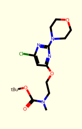 CN(CCOc1cc(Cl)nc(N2CCOCC2)n1)C(=O)OC(C)(C)C